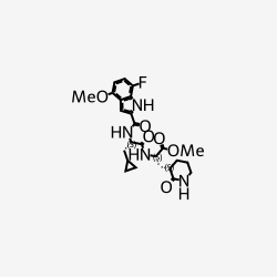 COC(=O)[C@H](C[C@@H]1CCCNC1=O)NC(=O)[C@H](CC1CC1)NC(=O)c1cc2c(OC)ccc(F)c2[nH]1